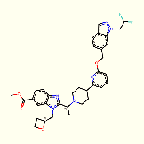 COC(=O)c1ccc2nc([C@H](C)N3CCC(c4cccc(OCc5ccc6cnn(CC(F)F)c6c5)n4)CC3)n(C[C@@H]3CCO3)c2c1